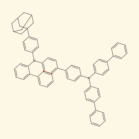 c1ccc(-c2ccc(N(c3ccc(-c4ccccc4)cc3)c3ccc(-c4ccc(N(c5ccc(C67CC8CC(CC(C8)C6)C7)cc5)c5ccccc5-c5ccccc5)cc4)cc3)cc2)cc1